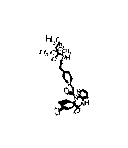 CCCC(C)(C)C(=O)C(C)NCCCC1CCN(CC(=O)N2c3ccc(Cl)cc3C(=O)Nc3cccnc32)CC1